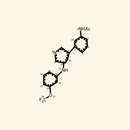 CC(=O)Nc1cccc(-c2cncc(Nc3cccc(OC(F)(F)F)c3)c2)c1